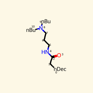 CCCCCCCCCCCC(=O)NCCCN(CCCC)CCCC